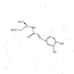 O=C(O)C[C@H](NC(=O)C=Cc1ccc(O)c(O)c1)C(=O)O